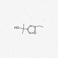 CCc1cc(C(C)(C)O)co1